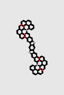 c1ccc2c(c1)ccc1cccc(N(c3ccc4cc5c(cc4c3)oc3cc4c(cc35)oc3cc5cc(N(c6cccc7ccc8ccccc8c67)c6cccc7ccc8ccccc8c67)ccc5cc34)c3cccc4ccc5ccccc5c34)c12